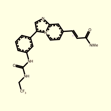 CNC(=O)/C=C/c1ccn2c(-c3cccc(NC(=O)NCC(F)(F)F)c3)cnc2c1